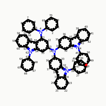 c1ccc(N(c2ccccc2)c2cc(N(c3ccc4c5ccccc5n(-c5ccccc5)c4c3)c3ccc4c5ccccc5n(-c5ccccc5)c4c3)cc3c2c2ccccc2n3-c2ccccc2)cc1